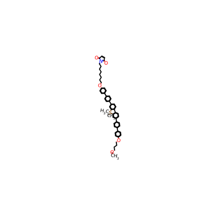 COCCCCOc1ccc(-c2ccc(-c3ccc4c(c3)S(C)(C)c3cc(-c5ccc(-c6ccc(OCCCCCCCCN7C(=O)C=CC7=O)cc6)cc5)ccc3-4)cc2)cc1